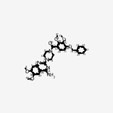 COc1cc2nc(N3CCN(C(=O)c4ccc(OCc5ccccc5)c(OC)c4OC)CC3)nc(N)c2cc1OC